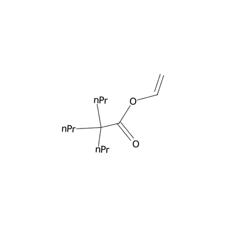 C=COC(=O)C(CCC)(CCC)CCC